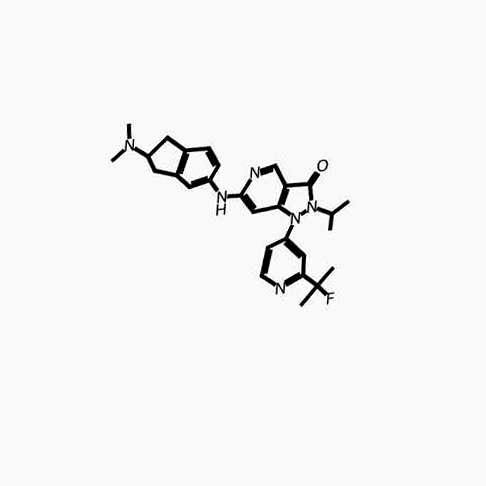 CC(C)n1c(=O)c2cnc(Nc3ccc4c(c3)CC(N(C)C)C4)cc2n1-c1ccnc(C(C)(C)F)c1